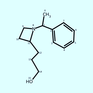 CC(c1ccccc1)N1CCC1CCCO